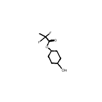 CC(F)(F)C(=O)OC1CCC(O)CC1